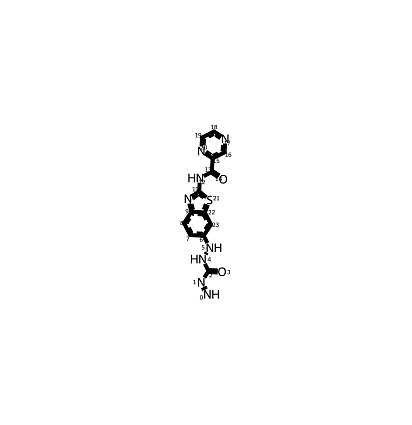 N=NC(=O)NNc1ccc2nc(NC(=O)c3cnccn3)sc2c1